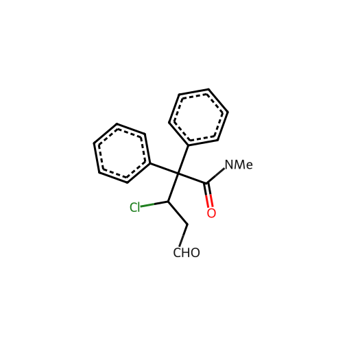 CNC(=O)C(c1ccccc1)(c1ccccc1)C(Cl)CC=O